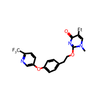 CCc1cn(C)c(OCCc2ccc(Oc3ccc(C(F)(F)F)nc3)cc2)nc1=O